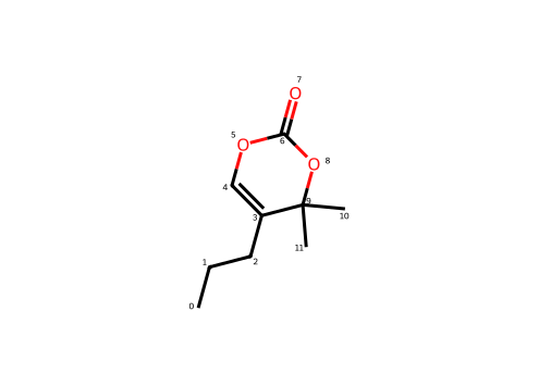 CCCC1=COC(=O)OC1(C)C